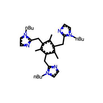 CCCCn1ccnc1Cc1c(C)c(Cc2nccn2CCCC)c(C)c(Cc2nccn2CCCC)c1C